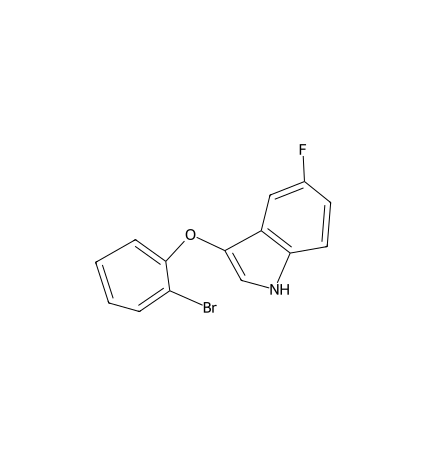 Fc1ccc2[nH]cc(Oc3ccccc3Br)c2c1